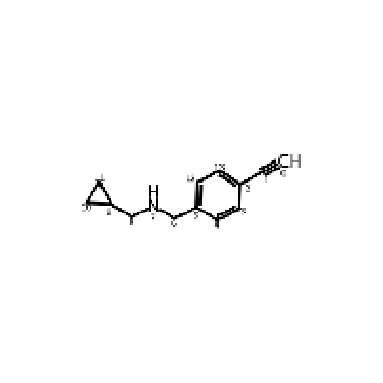 C#Cc1ccc(CNCC2CC2)cc1